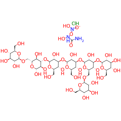 Cl.NC(=O)NO.O=[N+]([O-])O.OC[C@H]1O[C@@H](OC[C@H]2O[C@@H](O)[C@H](O)[C@@H](O[C@@H]3O[C@H](CO)[C@@H](O)[C@H](O[C@@H]4O[C@H](CO)[C@@H](O)[C@H](O[C@@H]5O[C@H](CO[C@@H]6O[C@H](CO)[C@@H](O)[C@H](O)[C@H]6O)[C@@H](O)[C@H](O[C@@H]6O[C@H](CO)[C@@H](O)[C@H](O)[C@H]6O)[C@H]5O)[C@H]4O)[C@H]3O)[C@@H]2O)[C@H](O)[C@@H](O)[C@@H]1O